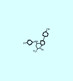 CC(=O)N1c2ccc(-c3ccc(C#N)cc3)cc2C(Nc2ccc(F)cc2)CC1C